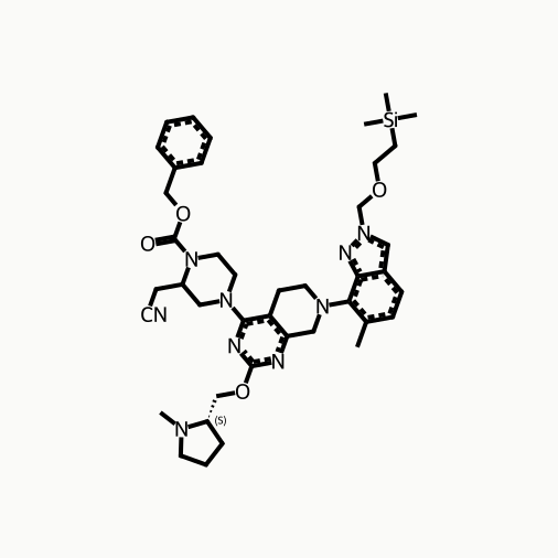 Cc1ccc2cn(COCC[Si](C)(C)C)nc2c1N1CCc2c(nc(OC[C@@H]3CCCN3C)nc2N2CCN(C(=O)OCc3ccccc3)C(CC#N)C2)C1